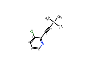 C[Si](C)(C)C#Cc1ncccc1Cl